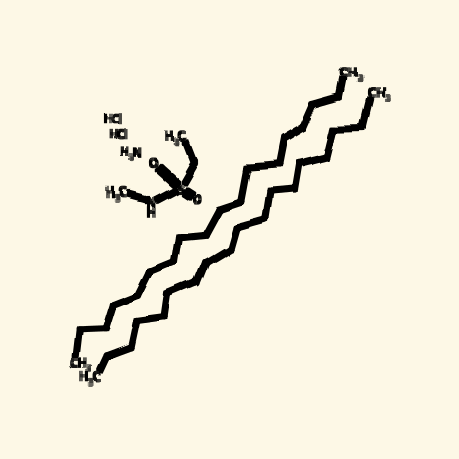 CCCCCCCCCCCCCCCCCC.CCCCCCCCCCCCCCCCCC.CCS(=O)(=O)NC.Cl.Cl.N